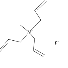 C=CC[N+](C)(CC=C)CC=C.[F-]